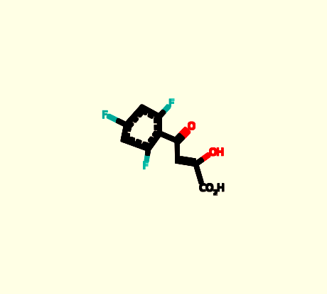 O=C(O)C(O)=CC(=O)c1c(F)cc(F)cc1F